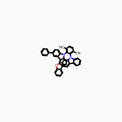 N#Cc1ccc(C#N)c(-n2c3ccc(-c4ccccc4)cc3c3c4oc5ccccc5c4ccc32)c1-n1c2ccccc2c2ccccc21